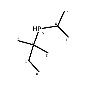 CCC(C)(C)PC(C)C